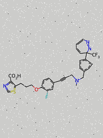 CN(CC#Cc1ccc(OCCCc2scnc2C(=O)O)c(F)c1)Cc1ccc(C2(C(F)(F)F)C=CC=CN=N2)cc1